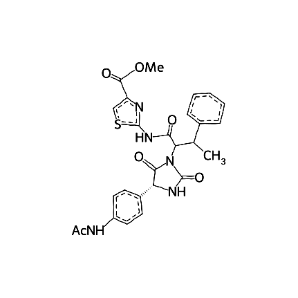 COC(=O)c1csc(NC(=O)C(C(C)c2ccccc2)N2C(=O)N[C@H](c3ccc(NC(C)=O)cc3)C2=O)n1